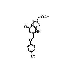 CCc1ccc(OCc2cc(=O)n3nc(COC(C)=O)nc3[nH]2)cc1